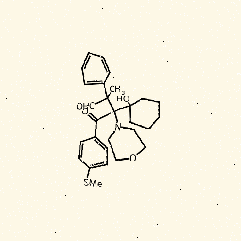 CSc1ccc(C(=O)C(N2CCOCC2)(C2(O)CCCCC2)C(C)(C=O)c2ccccc2)cc1